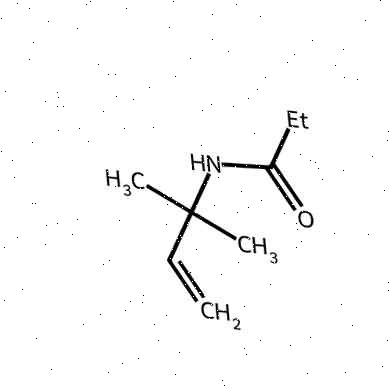 C=CC(C)(C)NC(=O)CC